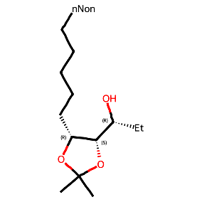 CCCCCCCCCCCCCC[C@H]1OC(C)(C)O[C@H]1[C@H](O)CC